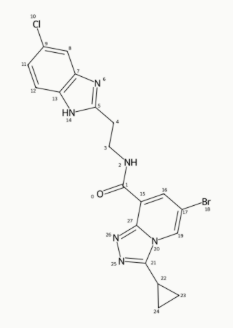 O=C(NCCc1nc2cc(Cl)ccc2[nH]1)c1cc(Br)cn2c(C3CC3)nnc12